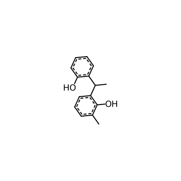 Cc1cccc(C(C)c2ccccc2O)c1O